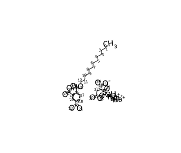 CCCCCCCCCCCCCOC(=O)c1ccc(C(=O)[O-])cc1C(=O)O.O=C([O-])CC(C(=O)[O-])S(=O)(=O)O.[Na+].[Na+].[Na+]